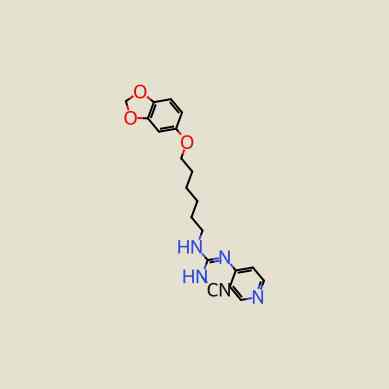 N#CNC(=Nc1ccncc1)NCCCCCCOc1ccc2c(c1)OCO2